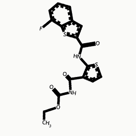 CCOC(=O)NC(=O)c1ccsc1NC(=O)c1cc2cccc(F)c2s1